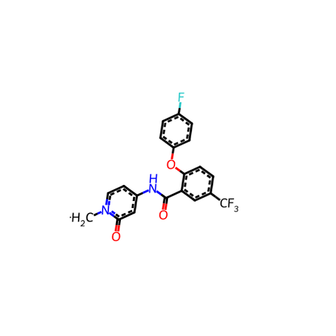 [CH2]n1ccc(NC(=O)c2cc(C(F)(F)F)ccc2Oc2ccc(F)cc2)cc1=O